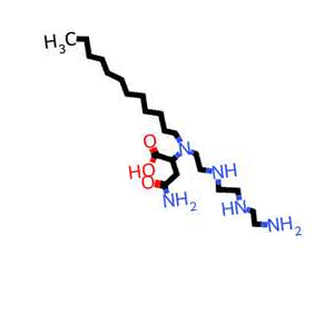 CCCCCCCCCCCCN(CCNCCNCCN)C(CC(N)=O)C(=O)O